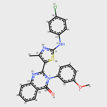 COc1cccc(-n2c(-c3sc(Nc4ccc(Cl)cc4)nc3C)nc3ccccc3c2=O)c1